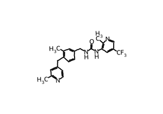 Cc1cc(Cc2ccc(CNC(=O)Nc3cc(C(F)(F)F)cnc3C)cc2C)ccn1